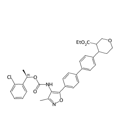 CCOC(=O)C1COCCC1c1ccc(-c2ccc(-c3onc(C)c3NC(=O)O[C@H](C)c3ccccc3Cl)cc2)cc1